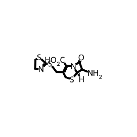 NC1C(=O)N2C(C(=O)O)=C(CSC3=NCCS3)CS[C@@H]12